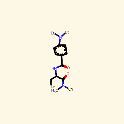 CCN(CC)c1ccc(C(=O)NC(CC(C)C)C(=O)N(C)C#N)cc1